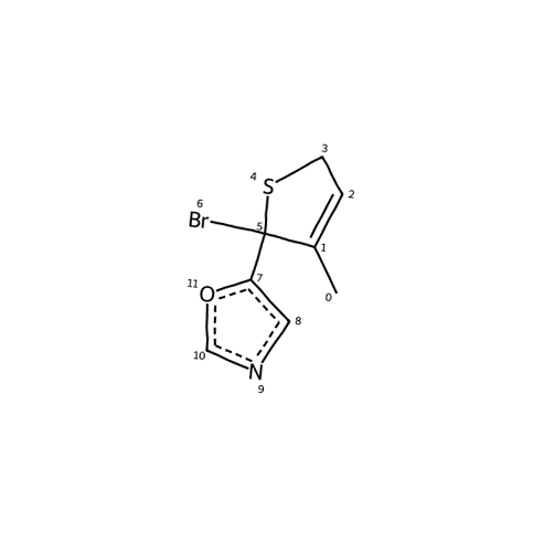 CC1=CCSC1(Br)c1cnco1